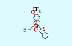 O=S(=O)(CCBr)N(Cc1ccc(OC(F)(F)F)cc1)C1Cc2ccccc2S1